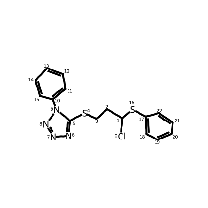 ClC(CCSc1nnnn1-c1ccccc1)Sc1ccccc1